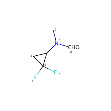 CN([C]=O)C1CC1(F)F